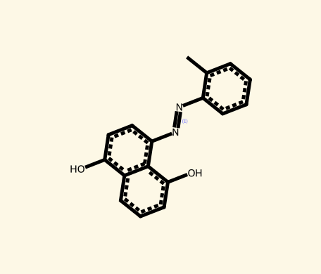 Cc1ccccc1/N=N/c1ccc(O)c2cccc(O)c12